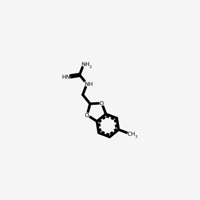 Cc1ccc2c(c1)OC(CNC(=N)N)O2